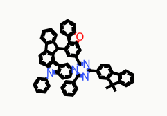 CC1(C)c2ccccc2-c2ccc(-c3nc(-c4ccccc4)nc(-c4cc(C5c6ccccc6-c6ccc7c(c65)c5ccccc5n7-c5ccccc5)c5c(c4)oc4ccccc45)n3)cc21